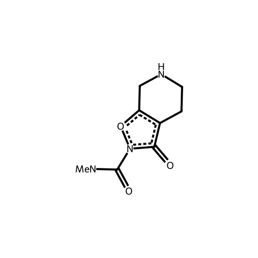 CNC(=O)n1oc2c(c1=O)CCNC2